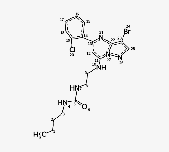 CCCCNC(=O)NCCNc1cc(-c2ccccc2Cl)nc2c(Br)cnn12